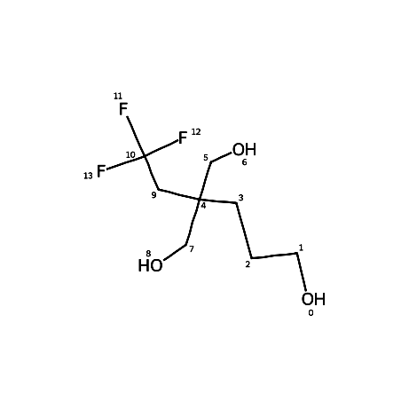 OCCCC(CO)(CO)CC(F)(F)F